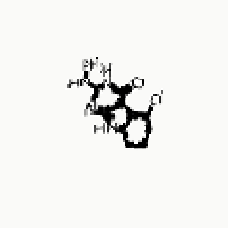 O=c1[nH]c(NP)nc2[nH]c3cccc(Cl)c3c12